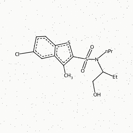 CCCN(C(CC)CO)S(=O)(=O)c1sc2ccc(Cl)cc2c1C